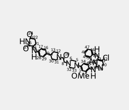 COc1cc(N2CCN(CC(=O)N3CCC(c4ccc(NC5CCC(=O)NC5=O)cc4)CC3)CC2)ccc1Nc1ncc(Cl)c(Nc2ccccc2C(C)=O)n1